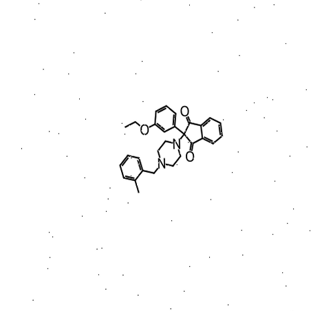 CCOc1cccc(C2(N3CCN(Cc4ccccc4C)CC3)C(=O)c3ccccc3C2=O)c1